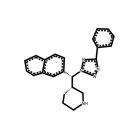 c1ccc(-c2nnn([C@@H](c3ccc4ccccc4c3)[C@H]3CCCNC3)n2)cc1